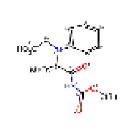 COC(C(=O)NC(=O)OC(C)(C)C)N(CC(=O)O)c1ccccc1